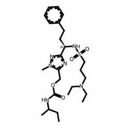 CCC(C)NC(=O)OCc1nc([C@@H](CCc2ccccc2)NS(=O)(=O)CCCN(CC)CC)nn1C